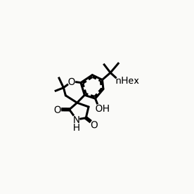 CCCCCCC(C)(C)c1cc(O)c2c(c1)OC(C)(C)CC21CC(=O)NC1=O